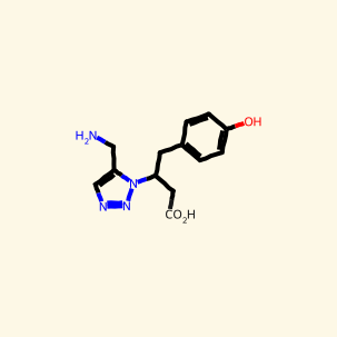 NCc1cnnn1C(CC(=O)O)Cc1ccc(O)cc1